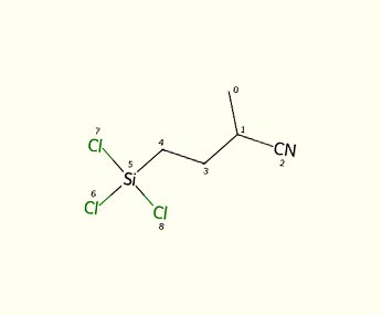 CC(C#N)CC[Si](Cl)(Cl)Cl